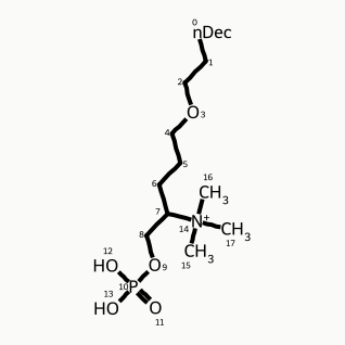 CCCCCCCCCCCCOCCCC(COP(=O)(O)O)[N+](C)(C)C